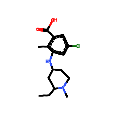 CCC1CC(Nc2cc(Cl)cc(C(=O)O)c2C)CCN1C